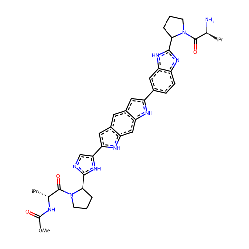 COC(=O)N[C@@H](C(=O)N1CCCC1c1ncc(-c2cc3cc4cc(-c5ccc6nc(C7CCCN7C(=O)[C@@H](N)C(C)C)[nH]c6c5)[nH]c4cc3[nH]2)[nH]1)C(C)C